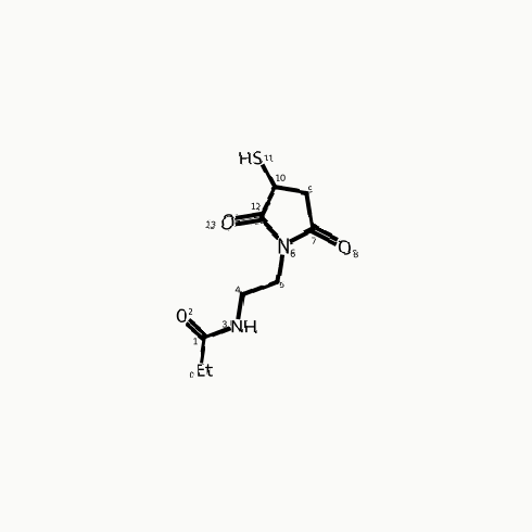 CCC(=O)NCCN1C(=O)CC(S)C1=O